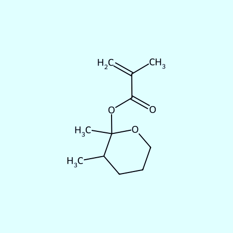 C=C(C)C(=O)OC1(C)OCCCC1C